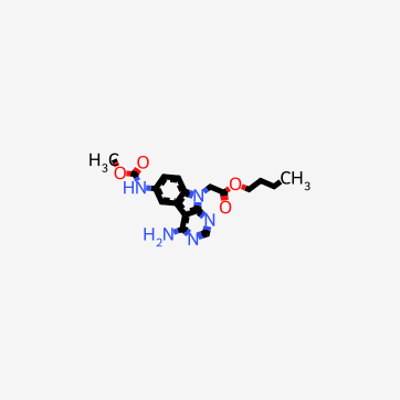 CCCCOC(=O)Cn1c2ccc(NC(=O)OC)cc2c2c(N)ncnc21